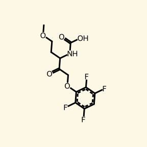 COCCC(NC(=O)O)C(=O)COc1c(F)c(F)cc(F)c1F